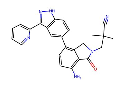 CC(C)(C#N)CN1Cc2c(-c3ccc4[nH]nc(-c5ccccn5)c4c3)ccc(N)c2C1=O